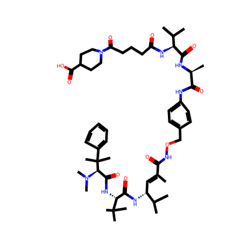 C/C(=C\[C@@H](NC(=O)[C@@H](NC(=O)[C@@H](N(C)C)C(C)(C)c1ccccc1)C(C)(C)C)C(C)C)C(=O)NOCc1ccc(NC(=O)[C@H](C)NC(=O)[C@@H](NC(=O)CCCC(=O)N2CCC(C(=O)O)CC2)C(C)C)cc1